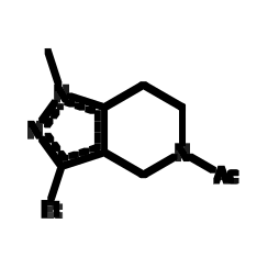 CCc1nn(C)c2c1CN(C(C)=O)CC2